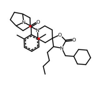 CCCCC1N(CC2CCCCC2)C(=O)OC12CCN(C1CC3CCC(C1)N3C(=O)c1c(C)cccc1C)CC2